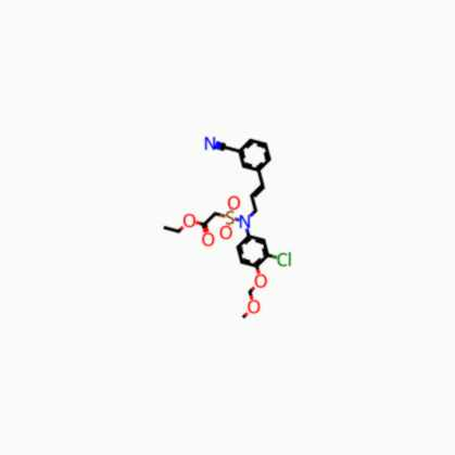 CCOC(=O)CS(=O)(=O)N(C/C=C/c1cccc(C#N)c1)c1ccc(OCOC)c(Cl)c1